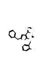 O=c1n(Cc2ccccc2Cl)c2sc(Cc3ccccc3)cc2c2ncnn12